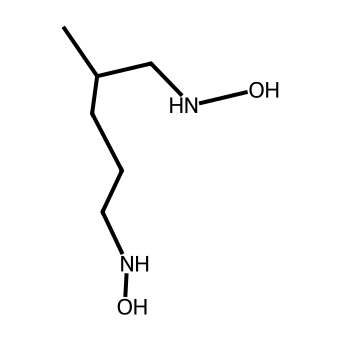 CC(CCCNO)CNO